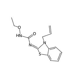 C=CCn1c(=NC(=O)NOCC)sc2ccccc21